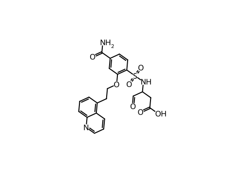 NC(=O)c1ccc(S(=O)(=O)NC(C=O)CC(=O)O)c(OCCc2cccc3ncccc23)c1